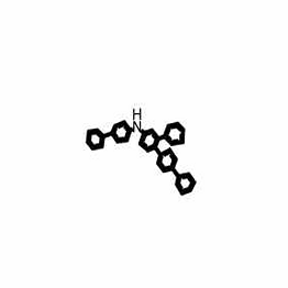 c1ccc(-c2ccc(Nc3ccc(-c4ccc(-c5ccccc5)cc4)c(-c4ccccc4)c3)cc2)cc1